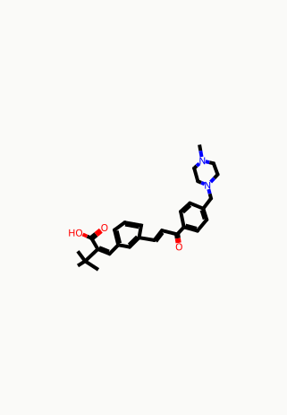 CN1CCN(Cc2ccc(C(=O)C=Cc3cccc(C=C(C(=O)O)C(C)(C)C)c3)cc2)CC1